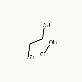 CCCCCO.OCl